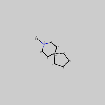 CC(C)N1CCC2(CCCC2)CC1